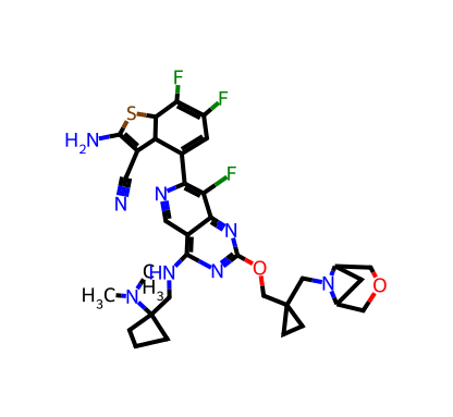 CN(C)C1(CNc2nc(OCC3(CN4C5COCC4C5)CC3)nc3c(F)c(C4=CC(F)=C(F)C5SC(N)=C(C#N)C45)ncc23)CCC1